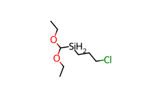 CCOC(OCC)[SiH2]CCCCl